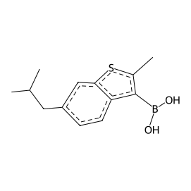 Cc1sc2cc(CC(C)C)ccc2c1B(O)O